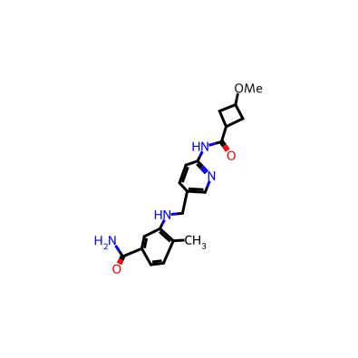 COC1CC(C(=O)Nc2ccc(CNc3cc(C(N)=O)ccc3C)cn2)C1